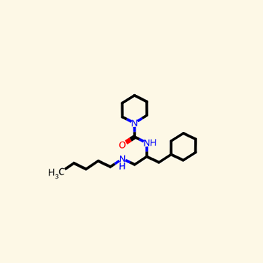 CCCCCNCC(CC1CCCCC1)NC(=O)N1CCCCC1